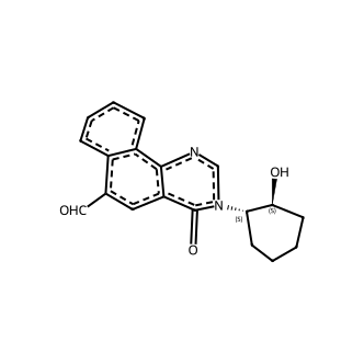 O=Cc1cc2c(=O)n([C@H]3CCCC[C@@H]3O)cnc2c2ccccc12